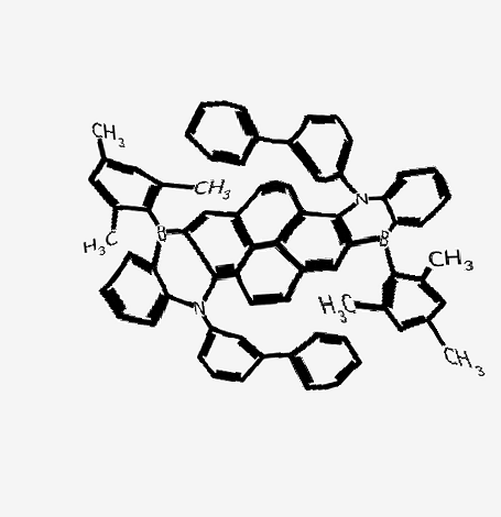 Cc1cc(C)c(B2c3ccccc3N(c3cccc(-c4ccccc4)c3)c3c2cc2ccc4c5c(cc6ccc3c2c64)B(c2c(C)cc(C)cc2C)c2ccccc2N5c2cccc(-c3ccccc3)c2)c(C)c1